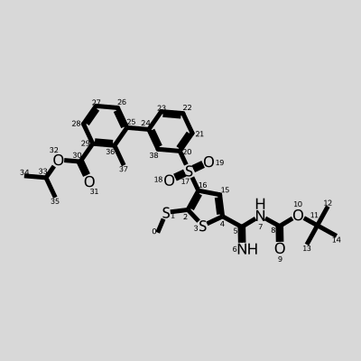 CSc1sc(C(=N)NC(=O)OC(C)(C)C)cc1S(=O)(=O)c1cccc(-c2cccc(C(=O)OC(C)C)c2C)c1